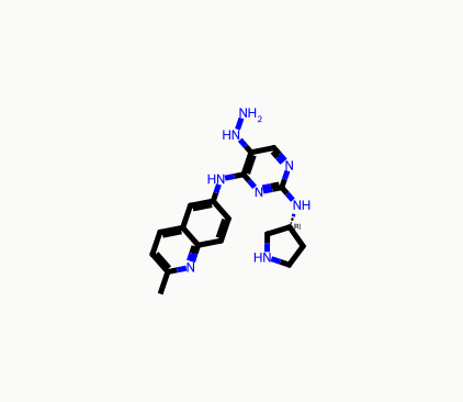 Cc1ccc2cc(Nc3nc(N[C@@H]4CCNC4)ncc3NN)ccc2n1